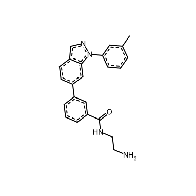 Cc1cccc(-n2ncc3ccc(-c4cccc(C(=O)NCCN)c4)cc32)c1